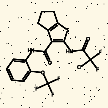 O=C(Nc1ccccc1OC(F)(F)F)c1c(NC(=O)C(F)(F)Cl)sc2c1CCC2